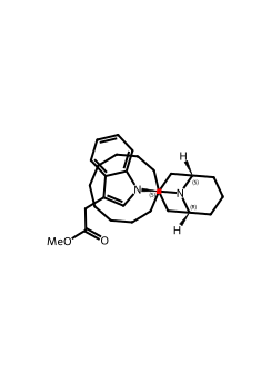 COC(=O)Cc1cn([C@@H]2C[C@H]3CCC[C@@H](C2)N3C2CCCCCCCCC2)c2ccccc12